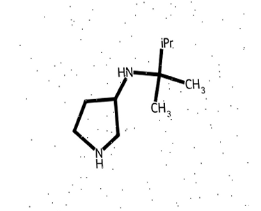 CC(C)C(C)(C)NC1CCNC1